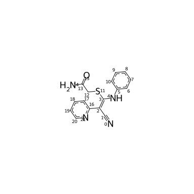 N#CC(=C(Nc1ccccc1)SCC(N)=O)c1ccccn1